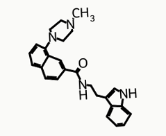 CN1CCN(c2cccc3ccc(C(=O)NCCc4c[nH]c5ccccc45)cc23)CC1